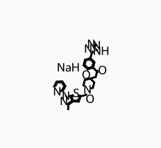 Cc1nn(-c2ccccn2)c2sc(C(=O)N3CCC4(CC3)CC(=O)c3cc(-c5nnn[nH]5)ccc3O4)cc12.[NaH]